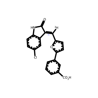 [2H]/C(=C1\C(=O)Nc2ccc(Cl)cc21)c1ccc(-c2cccc(C(=O)O)c2)o1